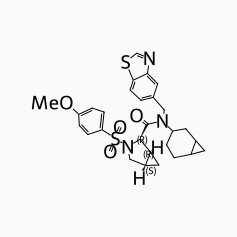 COc1ccc(S(=O)(=O)N2C[C@H]3C[C@H]3[C@@H]2C(=O)N(Cc2ccc3scnc3c2)C2CCC3CC3C2)cc1